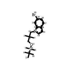 CC(C)(CO[Si](C)(C)C(C)(C)C)Cn1c[c]c2ccc(Br)cc21